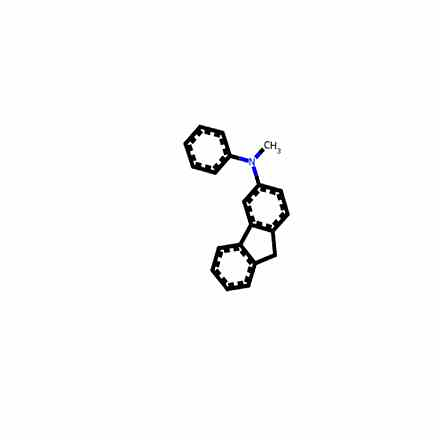 CN(c1ccccc1)c1ccc2c(c1)-c1ccccc1C2